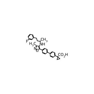 Cc1noc(-c2ccc(-c3ccc(C4(C(=O)O)CC4)cc3)cc2)c1NC(C)CCc1cccc(F)c1